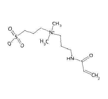 C=CC(=O)NCCC[N+](C)(C)CCCS(=O)(=O)[O-]